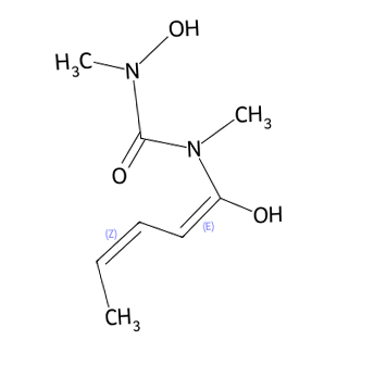 C/C=C\C=C(\O)N(C)C(=O)N(C)O